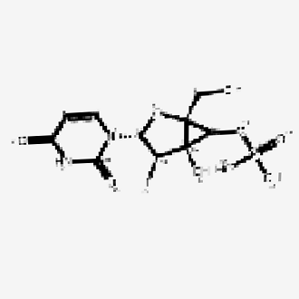 O=c1ccn([C@@H]2O[C@]3(CCl)C(OP(=O)(O)O)[C@]3(O)[C@H]2F)c(=O)[nH]1